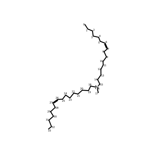 CCCCCC/C=C\CCCCCCCCN(C)CCCCCCCC/C=C\CCCCCC